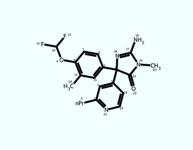 CCCc1cc(C2(c3ccc(OC(F)F)c(C)c3)N=C(N)N(C)C2=O)ccn1